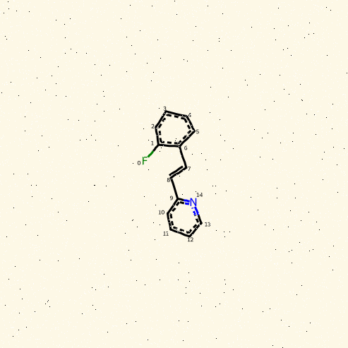 Fc1ccccc1C=Cc1ccccn1